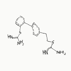 N=C(N)SCCc1ccc(-c2ccccc2SC(=N)N)cc1